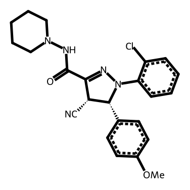 COc1ccc([C@@H]2[C@H](C#N)C(C(=O)NN3CCCCC3)=NN2c2ccccc2Cl)cc1